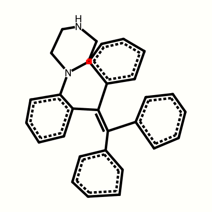 c1ccc(C(=C(c2ccccc2)c2ccccc2N2CCNCC2)c2ccccc2)cc1